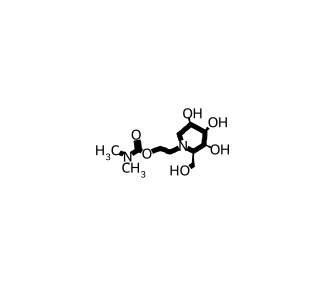 CN(C)C(=O)OCCN1C[C@H](O)[C@@H](O)[C@H](O)[C@H]1CO